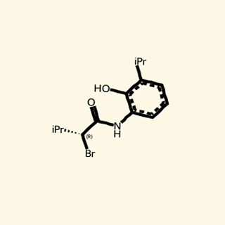 CC(C)c1cccc(NC(=O)[C@H](Br)C(C)C)c1O